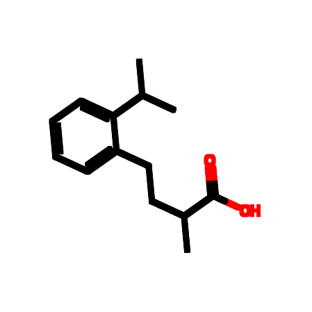 CC(CCc1ccccc1C(C)C)C(=O)O